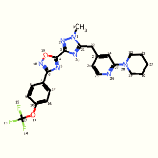 Cn1nc(-c2nc(-c3ccc(OC(F)(F)F)cc3)no2)nc1Cc1ccnc(N2CCCCC2)c1